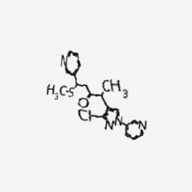 CSC(CC(=O)C(C)c1cn(-c2cccnc2)nc1Cl)c1cccnc1